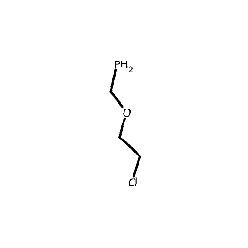 PCOCCCl